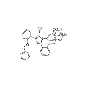 COc1ccc(-n2c(-c3ccccc3OCc3ccccc3)nc(-c3ccccc3OCc3ccccc3)c2C2CC2)cc1C(=O)O